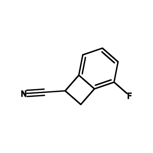 N#CC1Cc2c(F)cccc21